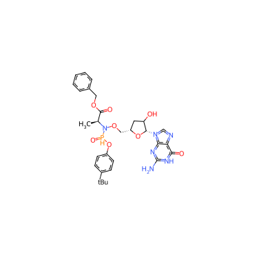 C[C@@H](C(=O)OCc1ccccc1)N(OC[C@@H]1CC(O)[C@H](n2cnc3c(=O)[nH]c(N)nc32)O1)[PH](=O)Oc1ccc(C(C)(C)C)cc1